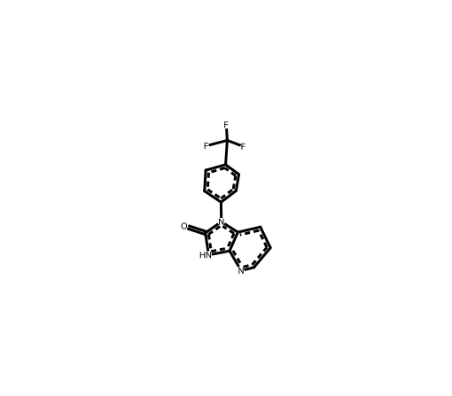 O=c1[nH]c2ncccc2n1-c1ccc(C(F)(F)F)cc1